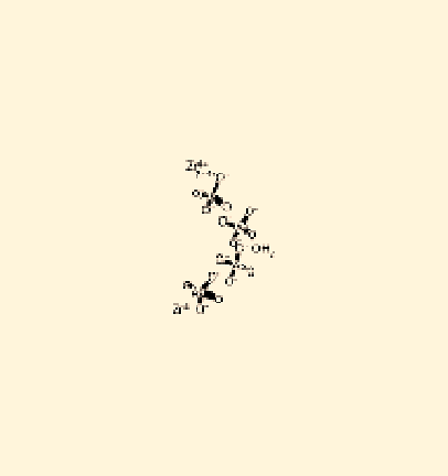 O.O=[As]([O-])([O-])[O-].O=[As]([O-])([O-])[O-].O=[As]([O-])([O-])[O-].O=[As]([O-])([O-])[O-].[Zr+4].[Zr+4].[Zr+4]